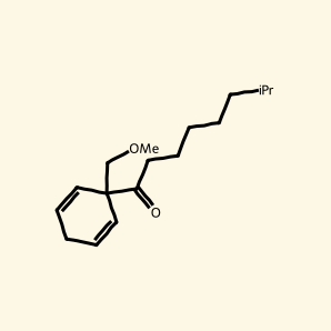 COCC1(C(=O)CCCCCC(C)C)C=CCC=C1